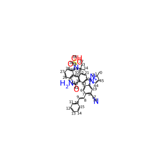 CC1=N[N+](c2ccc(C=Cc3ccccc3)c(C#N)c2)(c2ccc(-c3ccccc3N(C(C)(C)C)S(=O)(=O)O)c(C(N)=O)c2)C=C1